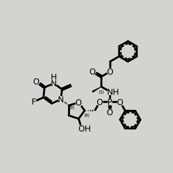 C=C1NC(=O)C(F)=CN1[C@H]1CC(O)[C@@H](COP(=O)(N[C@@H](C)C(=O)OCc2ccccc2)Oc2ccccc2)O1